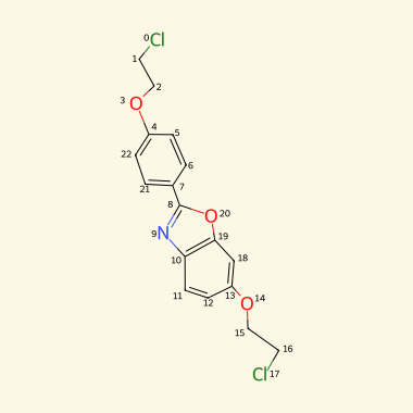 ClCCOc1ccc(-c2nc3ccc(OCCCl)cc3o2)cc1